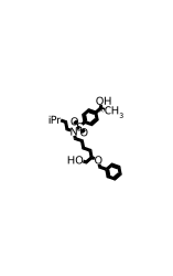 CC(C)CCN(CCCCC(CO)OCc1ccccc1)S(=O)(=O)c1ccc([C@H](C)O)cc1